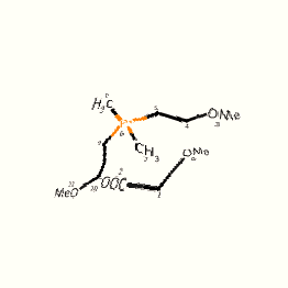 COCC(=O)[O-].COCC[P+](C)(C)CCOC